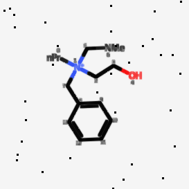 CCC[N+](CCO)(CNC)Cc1ccccc1